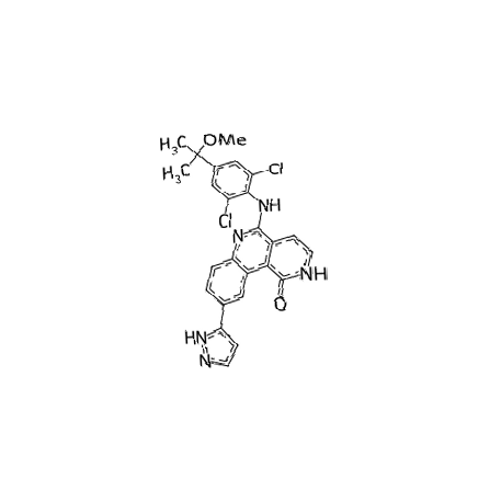 COC(C)(C)c1cc(Cl)c(Nc2nc3ccc(-c4ccn[nH]4)cc3c3c(=O)[nH]ccc23)c(Cl)c1